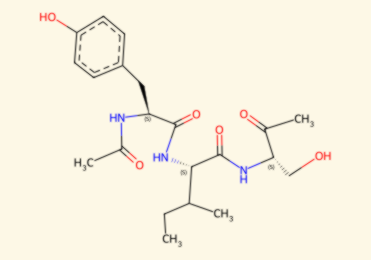 CCC(C)[C@H](NC(=O)[C@H](Cc1ccc(O)cc1)NC(C)=O)C(=O)N[C@@H](CO)C(C)=O